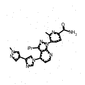 Cc1nc(C(N)=O)ccc1-n1nc(C(C)C)c2c(-n3cnc(-c4cnn(C)c4)c3)ccnc21